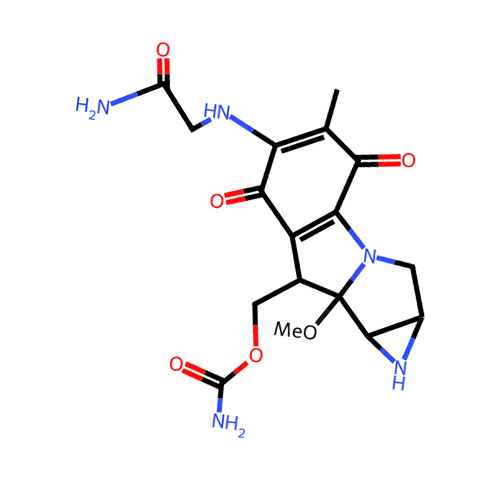 COC12C(COC(N)=O)C3=C(C(=O)C(C)=C(NCC(N)=O)C3=O)N1CC1NC12